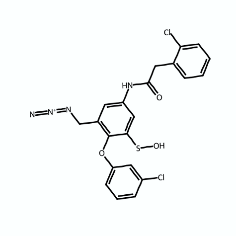 [N-]=[N+]=NCc1cc(NC(=O)Cc2ccccc2Cl)cc(SO)c1Oc1cccc(Cl)c1